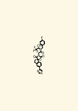 C[C@H](N(Cc1ccc(F)cc1)C(=O)CN1C(=O)O[C@@]2(CCc3cc(-c4cscn4)ccc32)C1=O)C(F)(F)F